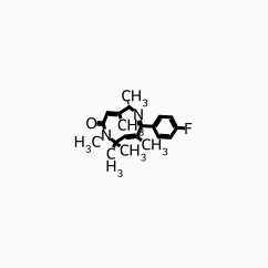 CC1=C\C(C)(C)N(C)C(=O)/C=C(\C)[C@H](C)/N=C\1c1ccc(F)cc1